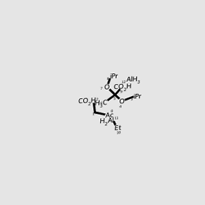 CC(=O)CC(=O)O.CC(C)OC(C)(OC(C)C)C(=O)O.C[CH2][AlH2].[AlH3]